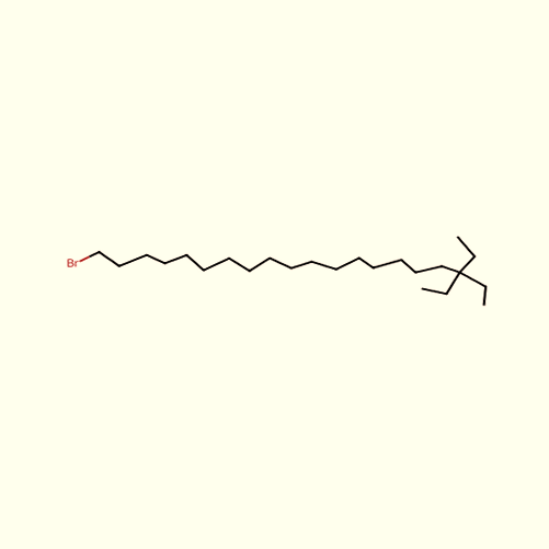 CCC(CC)(CC)CCCCCCCCCCCCCCCCCBr